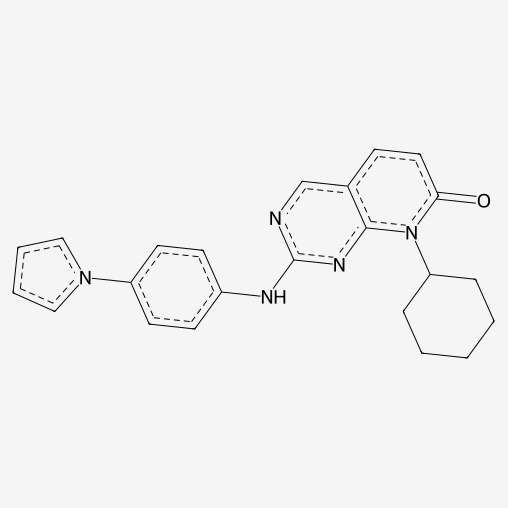 O=c1ccc2cnc(Nc3ccc(-n4cccc4)cc3)nc2n1C1CCCCC1